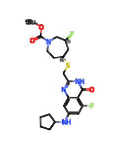 CC(C)(C)OC(=O)N1CC[C@@H](SCc2nc3cc(NC4CCCC4)cc(F)c3c(=O)[nH]2)C[C@H](F)C1